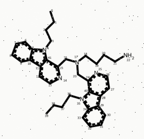 CCCCn1c2ccccc2c2ccnc(CN(CCCCN)Cc3nccc4c5ccccc5n(CCCC)c34)c21